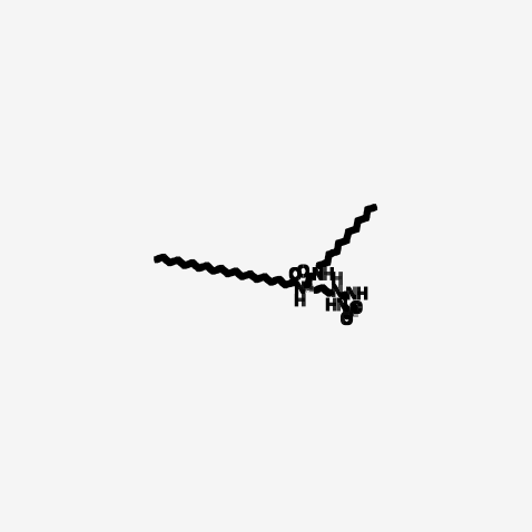 CCCCCCCCCCCCCCCCCCCC(=O)N[C@@H](CCCNC(=N)N[N+](=O)[O-])C(=O)NCCCCCCCCCCCC